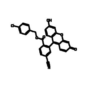 N#Cc1ccc(C(=O)OCc2ccc(Cl)cc2)c(-c2c3ccc(=O)cc-3oc3cc(O)ccc23)c1